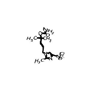 Cc1nc([N+](=O)[O-])cn1CCCC(C)(C)OC(N)=O